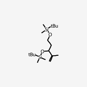 C=C(C)C(CCO[Si](C)(C)C(C)(C)C)O[Si](C)(C)C(C)(C)C